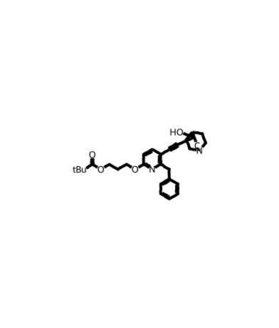 CC(C)(C)C(=O)OCCCOc1ccc(C#CC2(O)CN3CCC2CC3)c(Cc2ccccc2)n1